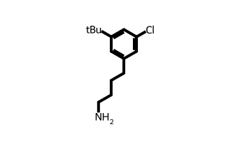 CC(C)(C)c1cc(Cl)cc(CCCCN)c1